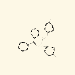 Cc1ccc(N(N=C(c2ccccc2)c2ccccc2)C(=O)Cc2ccc(Cl)cc2)cc1